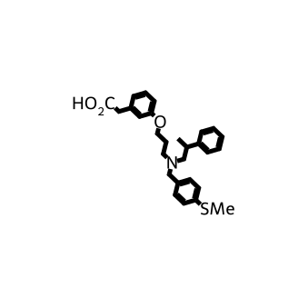 CSc1ccc(CN(CCCOc2cccc(CC(=O)O)c2)CC(C)c2ccccc2)cc1